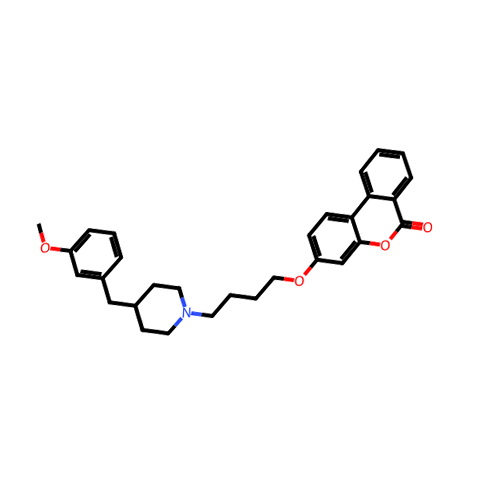 COc1cccc(CC2CCN(CCCCOc3ccc4c(c3)oc(=O)c3ccccc34)CC2)c1